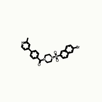 Cc1cc(-c2ccc(C(=O)N3CCN(S(=O)(=O)c4ccc5cc(Br)ccc5c4)CC3)cc2)ccn1